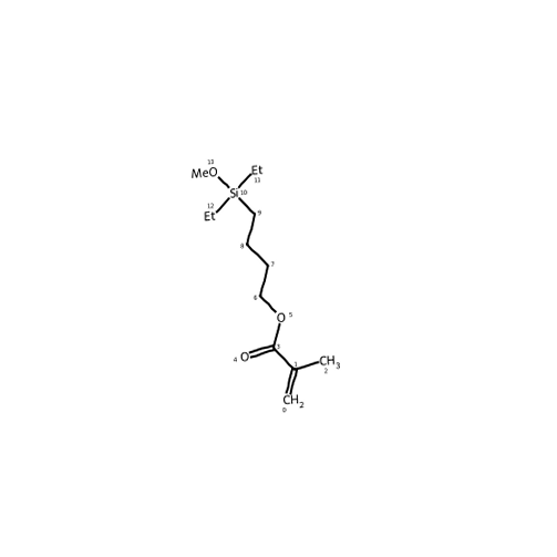 C=C(C)C(=O)OCCCC[Si](CC)(CC)OC